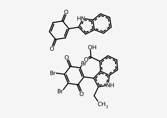 CCc1[nH]c2cccc(C(=O)O)c2c1C1=C(Br)C(=O)C(Br)=C(Br)C1=O.O=C1C=CC(=O)C(c2cc3ccccc3[nH]2)=C1